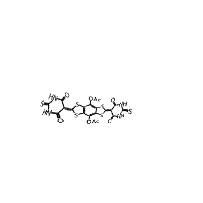 CC(=O)Oc1c2c(c(OC(C)=O)c3c1SC(=C1C(=O)NC(=S)NC1=O)S3)SC(=C1C(=O)NC(=S)NC1=O)S2